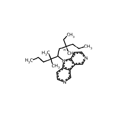 CCCC(C)(C)C(C[C@](C)(CC)CCC)n1c2ccncc2c2cnccc21